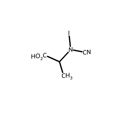 CC(C(=O)O)N(I)C#N